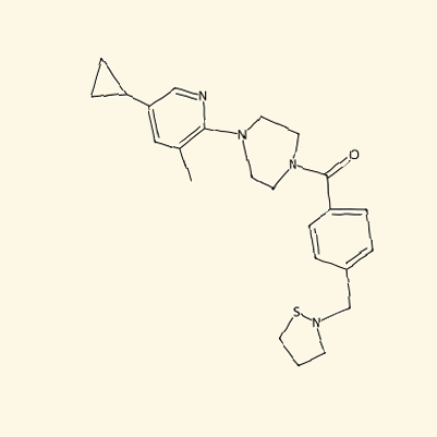 Cc1cc(C2CC2)cnc1N1CCN(C(=O)c2ccc(CN3CCCS3)cc2)CC1